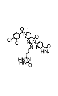 CNC(=O)c1ccc(-n2c(NCCCc3nc(=O)[nH][nH]3)nc3c(c2=O)C[C@@H](C)N(C(=O)c2ccc(Cl)c(Cl)c2)C3)cc1